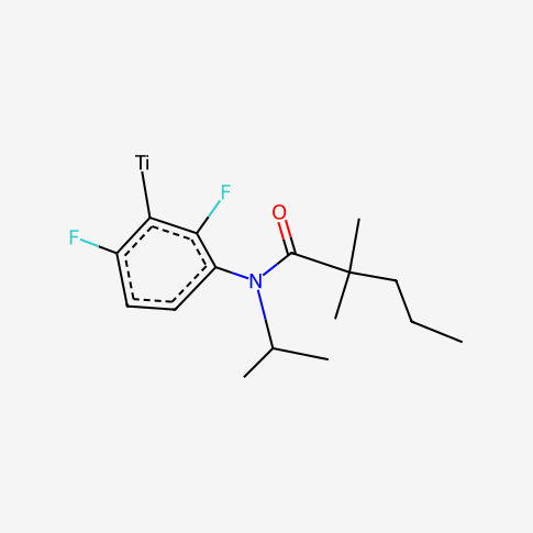 CCCC(C)(C)C(=O)N(c1ccc(F)[c]([Ti])c1F)C(C)C